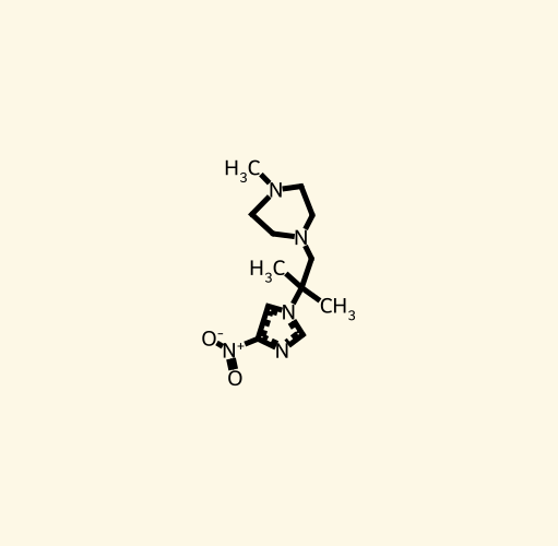 CN1CCN(CC(C)(C)n2cnc([N+](=O)[O-])c2)CC1